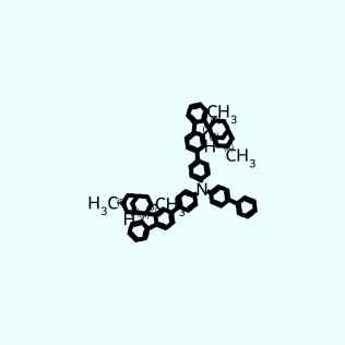 C[C@@H]1CC2C[C@@H](C1)[C@@]1(c3ccccc3-c3ccc(-c4ccc(N(c5ccc(-c6ccccc6)cc5)c5ccc(-c6ccc7c(c6)[C@]6(c8ccccc8-7)[C@H]7CC(C[C@@H](C)C7)C[C@@H]6C)cc5)cc4)cc31)[C@@H](C)C2